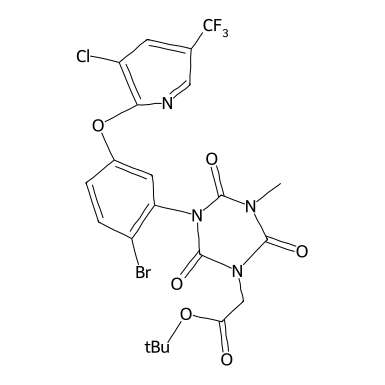 Cn1c(=O)n(CC(=O)OC(C)(C)C)c(=O)n(-c2cc(Oc3ncc(C(F)(F)F)cc3Cl)ccc2Br)c1=O